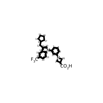 O=C(O)C1CN(c2cccc(-n3cc(CC4CCCC4)c4cc(C(F)(F)F)ccc43)c2)C1